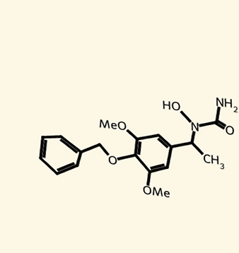 COc1cc(C(C)N(O)C(N)=O)cc(OC)c1OCc1ccccc1